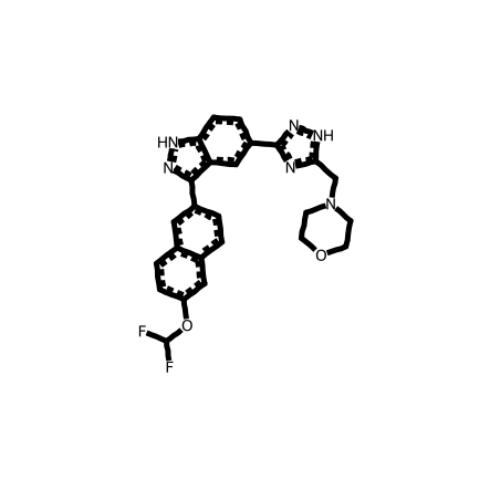 FC(F)Oc1ccc2cc(-c3n[nH]c4ccc(-c5n[nH]c(CN6CCOCC6)n5)cc34)ccc2c1